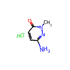 Cl.Cn1nc(N)ccc1=O